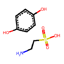 NCCS(=O)(=O)O.Oc1ccc(O)cc1